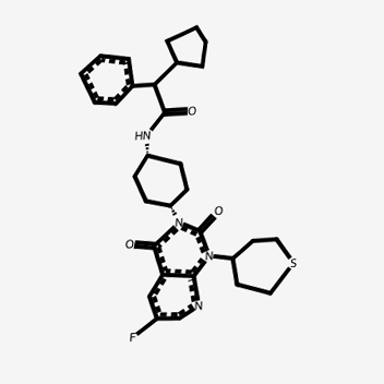 O=C(N[C@H]1CC[C@@H](n2c(=O)c3cc(F)cnc3n(C3CCSCC3)c2=O)CC1)C(c1ccccc1)C1CCCC1